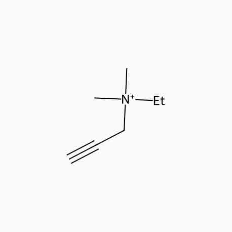 C#CC[N+](C)(C)CC